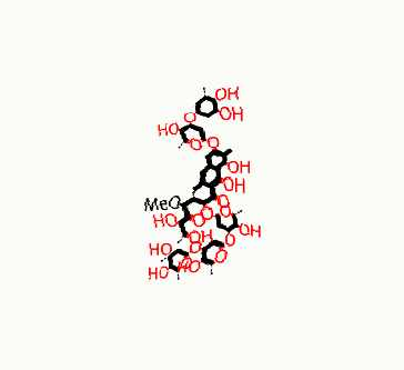 CO[C@H](C(=O)[C@@H](O)[C@@H](C)O)[C@@H]1Cc2cc3cc(O[C@H]4C[C@@H](O[C@H]5C[C@@H](O)[C@H](O)[C@@H](C)C5)[C@H](O)[C@@H](C)O4)c(C)c(O)c3c(O)c2C(=O)[C@H]1O[C@H]1C[C@@H](O[C@H]2C[C@@H](O[C@H]3C[C@](C)(O)[C@H](O)[C@@H](C)O3)[C@H](O)[C@@H](C)O2)[C@H](O)[C@@H](C)O1